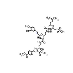 COC(=O)c1ccc(SC[C@H](NC(O)CCNC(=O)[C@H](CCCCNC(=O)[C@H](CSCCN(C)C)NC(=O)CCS(=O)(=O)O)NC(=O)/C=C/c2ccc(O)c(O)c2)C(=O)OC)nc1